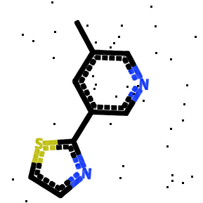 Cc1cncc(-c2nccs2)c1